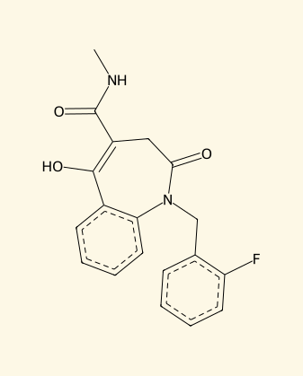 CNC(=O)C1=C(O)c2ccccc2N(Cc2ccccc2F)C(=O)C1